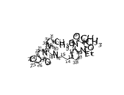 CCN1C(=O)C(C)(C)C(=O)N(C)c2cc(CCCN(CCn3ccc4occc4c3=O)Cc3ncccc3C)ccc21